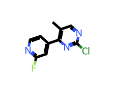 Cc1cnc(Cl)nc1-c1ccnc(F)c1